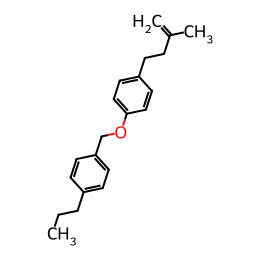 C=C(C)CCc1ccc(OCc2ccc(CCC)cc2)cc1